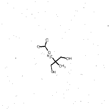 CC(C)(CO)CO.ClC(Cl)Cl